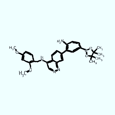 COc1ccc(CNc2cnnc3cc(-c4cc(B5OC(C)(C)C(C)(C)O5)ccc4N)ccc23)c(OC)c1